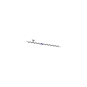 [CH2]CCCCCCCCCCC/C=C/CCCCCC(CCC[CH2])C(C)C